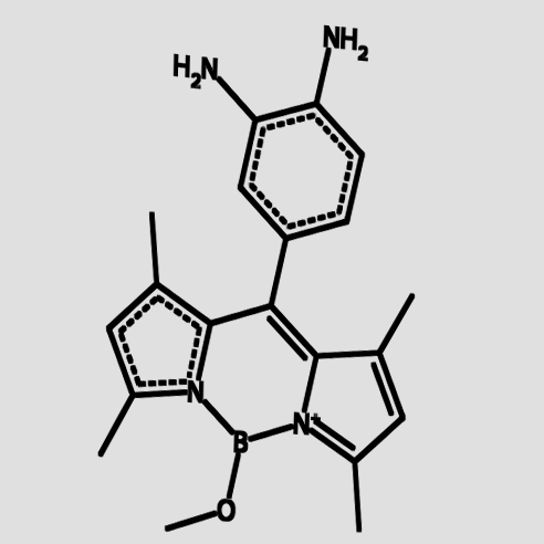 COB1n2c(C)cc(C)c2C(c2ccc(N)c(N)c2)=C2C(C)=CC(C)=[N+]12